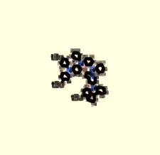 CC(C)(C)c1ccc(N(c2ccc(C(C)(C)C)cc2)c2ccc3c(c2)N(c2ccccc2)c2cccc4c2B3c2cc3cc(N(c5ccc(C(C)(C)C)cc5)c5ccccc5-c5ccccc5)ccn3c2N4c2ccccc2)cc1